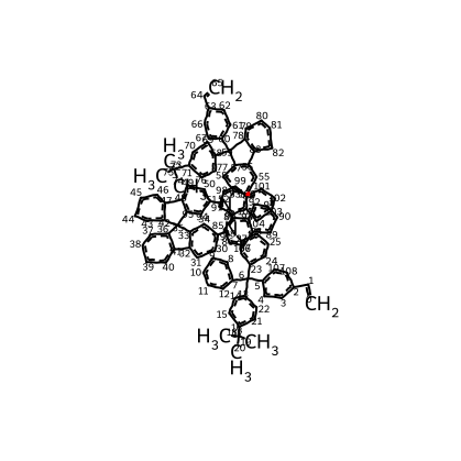 C=Cc1ccc(C(c2ccccc2)(c2ccc(C(C)(C)C)cc2)c2cccc(N(c3ccc4c(c3)C3(c5ccccc5-4)c4ccccc4-c4ccc(N(c5ccc6c(c5)C(c5ccc(C=C)cc5)(c5ccc(C(C)(C)C)cc5)c5ccccc5-6)c5cccc6ccccc56)cc43)c3cccc4ccccc34)c2)cc1